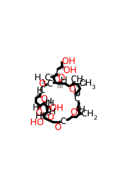 C=C1C2C[C@@H]3O[C@H](C[C@H](O)CO)[C@H](C)C3CC(=O)C[C@H]3CC[C@@H]4O[C@@H]5[C@@H](OC(CC(=O)CCC6CC(=C)[C@H](CC[C@@H](C[C@H]1C)O2)O6)[C@@H]5O)[C@@H](O)[C@H]4O3